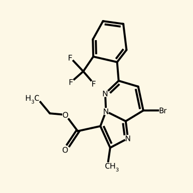 CCOC(=O)c1c(C)nc2c(Br)cc(-c3ccccc3C(F)(F)F)nn12